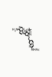 CC(=O)Nc1cn2ccc(CC[C@H]3C[C@@H](n4ccc5c(N)ncnc54)[C@@H]4OC(C)(C)O[C@H]34)cc2n1